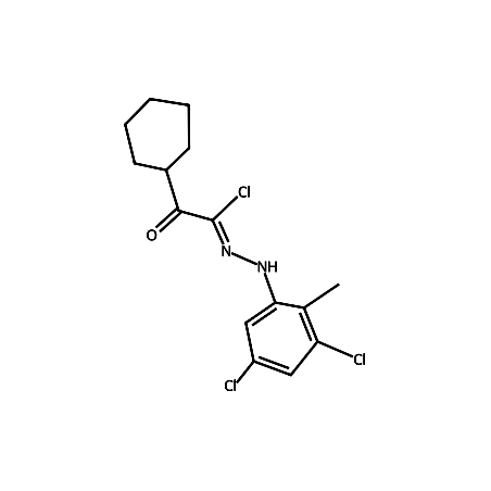 Cc1c(Cl)cc(Cl)cc1NN=C(Cl)C(=O)C1CCCCC1